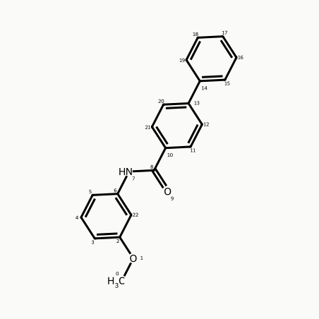 COc1cccc(NC(=O)c2ccc(-c3ccccc3)cc2)c1